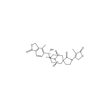 CC1=C(N2CCC3(C[C@H]4CN(C)C[C@@H](C3)N4C[C@@H](O)c3ccc4c(c3C)COC4=O)C2=O)COC1=O